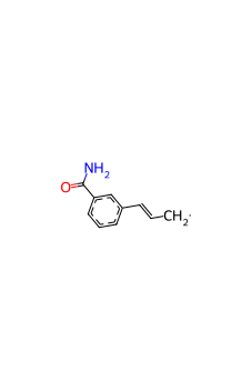 [CH2]/C=C/c1cccc(C(N)=O)c1